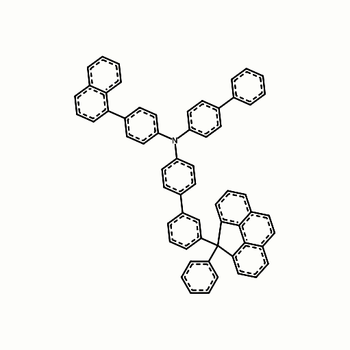 c1ccc(-c2ccc(N(c3ccc(-c4cccc(C5(c6ccccc6)c6cccc7ccc8cccc5c8c67)c4)cc3)c3ccc(-c4cccc5ccccc45)cc3)cc2)cc1